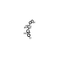 CC(C)[C@@H](NC(=O)[C@@H]1CCC2(CCCN2)C1)C(=O)N1CC[C@](O)(c2ccc(Cl)cc2)C(C)(C)C1